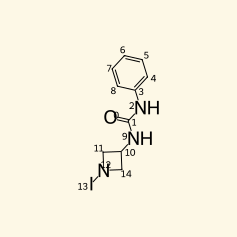 O=C(Nc1ccccc1)NC1CN(I)C1